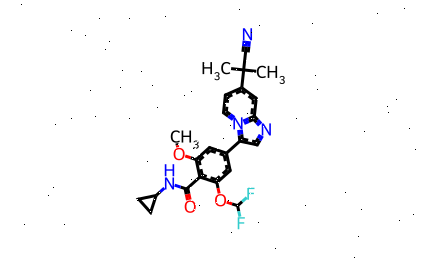 COc1cc(-c2cnc3cc(C(C)(C)C#N)ccn23)cc(OC(F)F)c1C(=O)NC1CC1